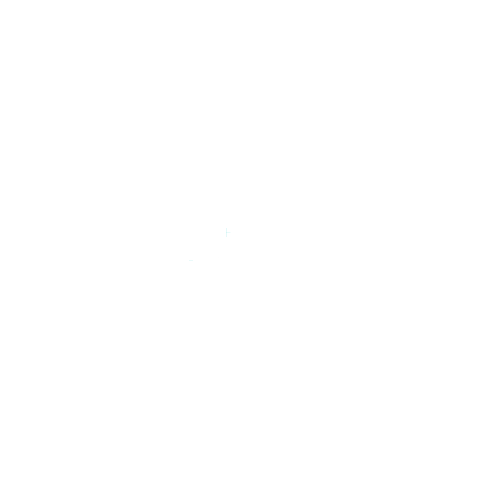 C#Cc1ccccc1CC(F)F